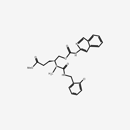 COC(=O)CC[C@@H](COC(=O)Nc1cc2ccccc2cn1)N(C)C(=O)NCc1ccccc1Cl